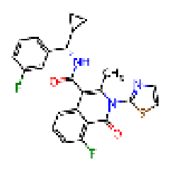 Cc1c(C(=O)N[C@H](c2cccc(F)c2)C2CC2)c2cccc(F)c2c(=O)n1-c1nccs1